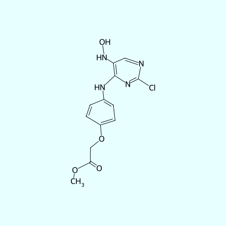 COC(=O)COc1ccc(Nc2nc(Cl)ncc2NO)cc1